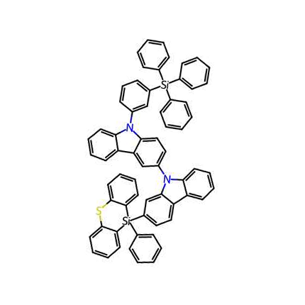 c1ccc([Si](c2ccccc2)(c2ccccc2)c2cccc(-n3c4ccccc4c4cc(-n5c6ccccc6c6ccc([Si]7(c8ccccc8)c8ccccc8Sc8ccccc87)cc65)ccc43)c2)cc1